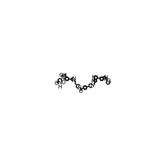 Cn1c(CN2CCC(c3ccc(C(=O)N4CCC(CCn5cc(-c6ccc7c(c6)n(C)c(=O)n7C6CCC(=O)NC6=O)cn5)CC4)cc3)CC2)cc2c(-c3ccc4c(cnn4C4CCCCO4)c3)ccnc21